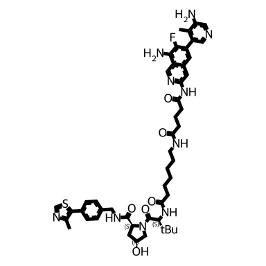 Cc1ncsc1-c1ccc(CNC(=O)[C@@H]2C[C@@H](O)CN2C(=O)[C@@H](NC(=O)CCCCCCNC(=O)CCCC(=O)Nc2cc3cc(-c4cncc(N)c4C)c(F)c(N)c3cn2)C(C)(C)C)cc1